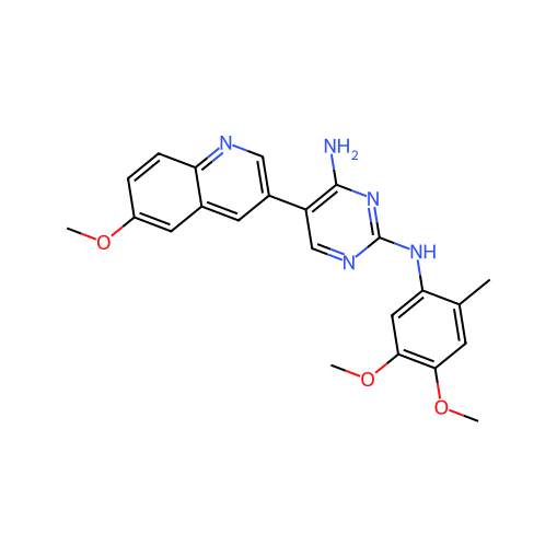 COc1ccc2ncc(-c3cnc(Nc4cc(OC)c(OC)cc4C)nc3N)cc2c1